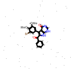 COc1cc(-c2c(C(=O)c3ccccc3)[nH]c3[nH]cnc(=O)c23)cc(Br)c1OC